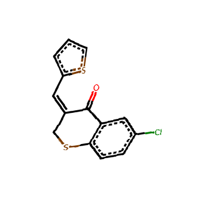 O=C1C(=Cc2cccs2)CSc2ccc(Cl)cc21